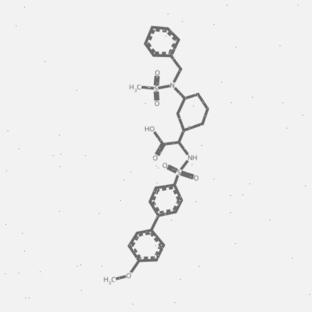 COc1ccc(-c2ccc(S(=O)(=O)NC(C(=O)O)C3CCCC(N(Cc4ccccc4)S(C)(=O)=O)C3)cc2)cc1